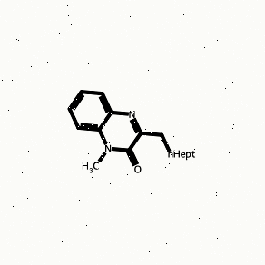 CCCCCCCCc1nc2ccccc2n(C)c1=O